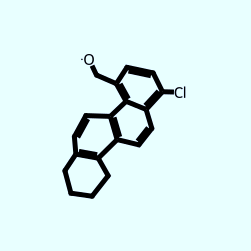 [O]Cc1ccc(Cl)c2ccc3c4c(ccc3c12)CCCC4